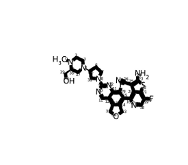 CN1CCN([C@@H]2CCN(c3ncc4c5c(c(-c6ncc(F)c7sc(N)c(C#N)c67)c(F)c4n3)COC5)C2)C[C@H]1CO